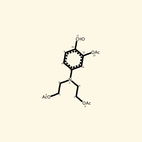 CC(=O)OCCN(CCOC(C)=O)c1ccc(C=O)c(OC(C)=O)c1